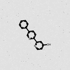 Oc1ccnc(-c2ccc(-c3ccccc3)cn2)c1